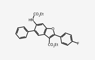 CCOC(=O)Nc1cc2oc(-c3ccc(F)cc3)c(C(=O)OCC)c2cc1-c1ccccc1